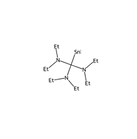 CCN(CC)[C]([Sn])(N(CC)CC)N(CC)CC